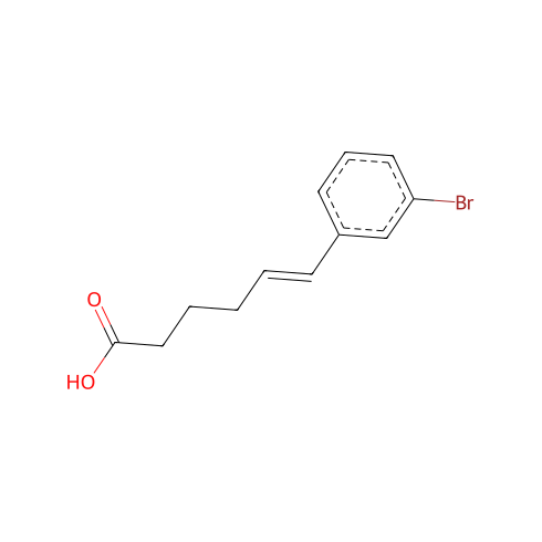 O=C(O)CCCC=Cc1cccc(Br)c1